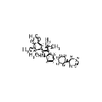 COc1cc(-c2[nH]c3ccc(C4CCN(C5CCOCC5)CC4)cc3c2C(C)C)c(C)n(C)c1=O